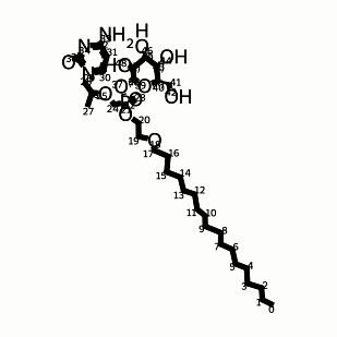 CCCCCCCCCCCCCCCCCCOCCOP(=O)(COC(C)Cn1ccc(N)nc1=O)O[C@H]1O[C@H](CO)[C@H](O)[C@H](O)[C@H]1O